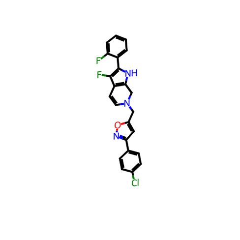 Fc1ccccc1-c1[nH]c2c(c1F)C=CN(Cc1cc(-c3ccc(Cl)cc3)no1)C2